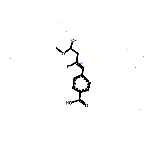 COC(O)C/C(F)=C/c1ccc(C(=O)O)cc1